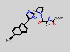 C#Cc1ccc2cc(-c3cnc([C@@H]4CCCN4C(=O)C(NC(=O)OC)C(C)C)[nH]3)ccc2c1